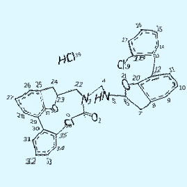 CC(=O)N(CNC1Cc2cccc(-c3ccccc3Cl)c2O1)CC1Cc2cccc(-c3ccccc3Cl)c2O1.Cl